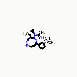 C=Cc1cn[nH]ccc(-c2cccc(N(C)C)c2)nc1N(C(=C)C)C1CC1